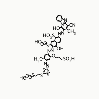 Cc1cc(N=Nc2c(SOOO)cc3c(S(=O)(=O)O)c(N=Nc4c(C)c(C#N)c5nc6ccccc6n5c4O)ccc3c2O)c(OCCCS(=O)(=O)O)cc1N=Nc1nnc(SCCSOOO)s1